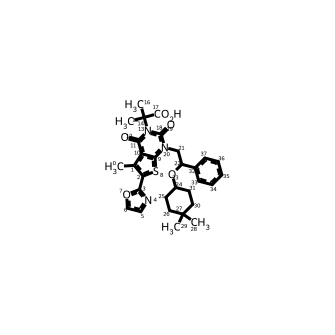 Cc1c(-c2ncco2)sc2c1c(=O)n(C(C)(C)C(=O)O)c(=O)n2CC(OC1CCC(C)(C)CC1)c1ccccc1